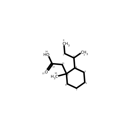 CCC(C)C1CCCCC1(C)CC(=O)O